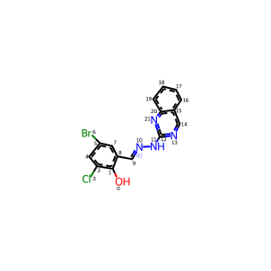 Oc1c(Cl)cc(Br)cc1/C=N/Nc1ncc2ccccc2n1